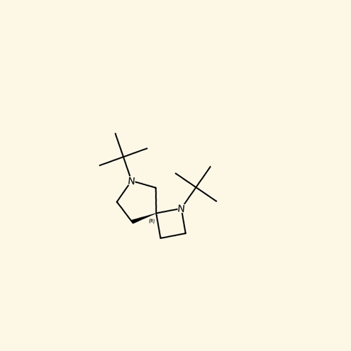 CC(C)(C)N1CC[C@@]2(CCN2C(C)(C)C)C1